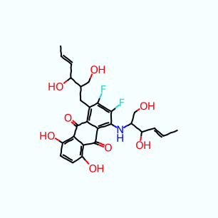 C/C=C/C(O)C(CO)Cc1c(F)c(F)c(NC(CO)C(O)/C=C/C)c2c1C(=O)c1c(O)ccc(O)c1C2=O